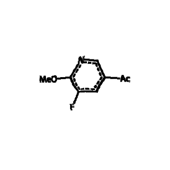 COc1ncc(C(C)=O)cc1F